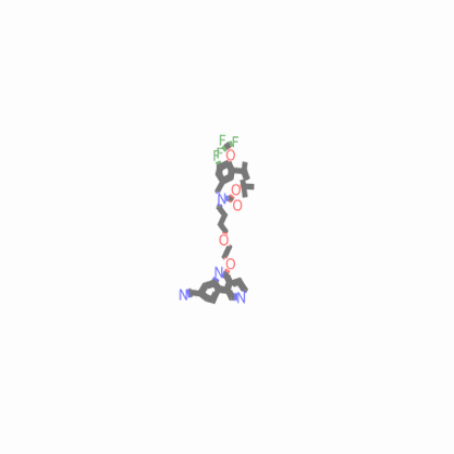 C=C(C)c1cc(CN(CCCCOCCOc2nc3cc(C#N)ccc3c3cnccc23)C(=O)OC(C)(C)C)cc(F)c1OC(F)(F)F